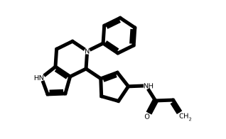 C=CC(=O)NC1C=C(C2c3cc[nH]c3CCN2c2ccccc2)CC1